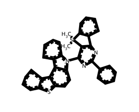 C[Si]1(C)c2ccccc2-c2nc(-c3ccccc3)nc(-n3c4ccccc4c4c5c(ccc43)sc3ccccc35)c21